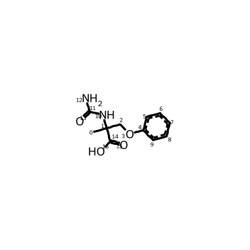 CC(COc1ccccc1)(NC(N)=O)C(=O)O